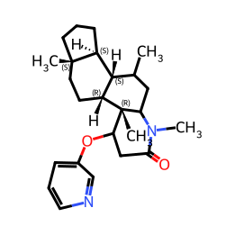 CC1CC2N(C)C(=O)CC(Oc3cccnc3)[C@]2(C)[C@@H]2CC[C@]3(C)CCC[C@H]3[C@H]12